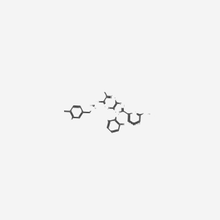 CCOC1=NC(c2nc3nc(Cl)c(NS(=O)(=O)Cc4ccc(C)c(F)c4)nc3n2-c2c(O)cccc2OC)=C=C=C1